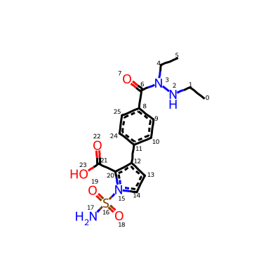 CCNN(CC)C(=O)c1ccc(-c2ccn(S(N)(=O)=O)c2C(=O)O)cc1